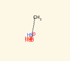 CCCCCCCCCCCCCCCC(=O)NCCOP(=O)(O)O